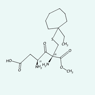 CCC1(SC[C@](N)(C(=O)OC)C(=O)[C@@H](N)CC(=O)O)CCCCCC1